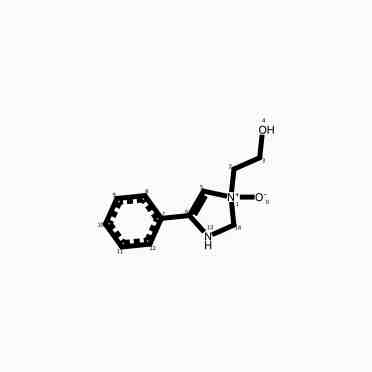 [O-][N+]1(CCO)C=C(c2ccccc2)NC1